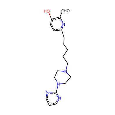 O=Cc1nc(CCCCCN2CCN(c3ncccn3)CC2)ccc1O